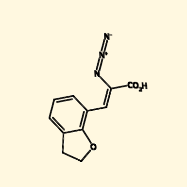 [N-]=[N+]=NC(=Cc1cccc2c1OCC2)C(=O)O